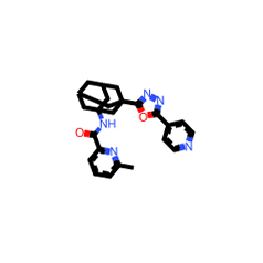 Cc1cccc(C(=O)NC23CC4CC(C2)CC(c2nnc(-c5ccncc5)o2)(C4)C3)n1